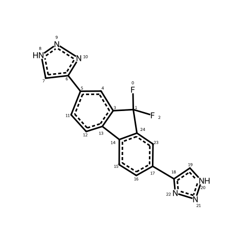 FC1(F)c2cc(-c3c[nH]nn3)ccc2-c2ccc(-c3c[nH]nn3)cc21